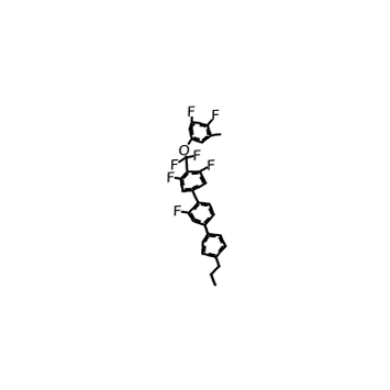 CCCc1ccc(-c2ccc(-c3cc(F)c(C(F)(F)Oc4cc(C)c(F)c(F)c4)c(F)c3)c(F)c2)cc1